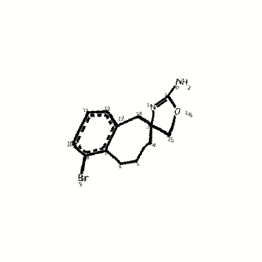 NC1=NC2(CCCc3c(Br)cccc3C2)CO1